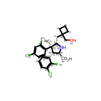 N#C[C@]1(c2ccc(Cl)cc2F)[C@H](CC2(CO)CCC2)N[C@@H](C(=O)O)[C@@H]1c1cccc(Cl)c1F